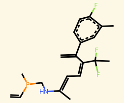 C=CP(C)CN/C(C)=C/C=C(\C(=C)c1ccc(F)c(C)c1)C(C)(F)F